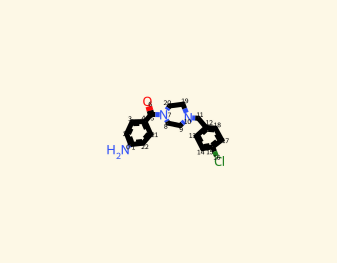 Nc1ccc(C(=O)N2CCN(Cc3ccc(Cl)cc3)CC2)cc1